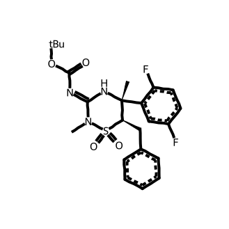 CN1/C(=N/C(=O)OC(C)(C)C)N[C@](C)(c2cc(F)ccc2F)[C@@H](Cc2ccccc2)S1(=O)=O